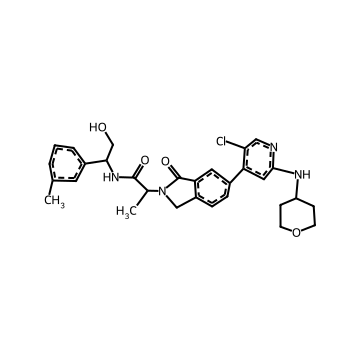 Cc1cccc(C(CO)NC(=O)C(C)N2Cc3ccc(-c4cc(NC5CCOCC5)ncc4Cl)cc3C2=O)c1